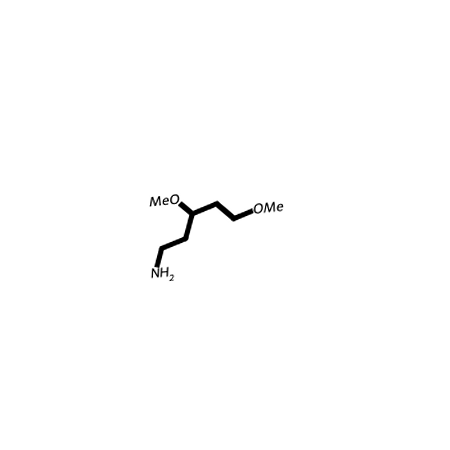 COCCC(CCN)OC